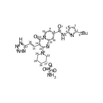 CC(C)(C)c1csc(NC(=O)c2ccn3c(=O)c(C=Cc4nnn[nH]4)c(N4CCC[C@@H](OS(N)(=O)=O)C4)nc3c2)n1